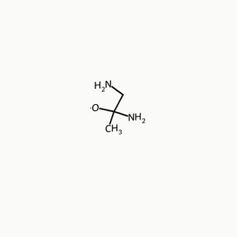 CC(N)([O])CN